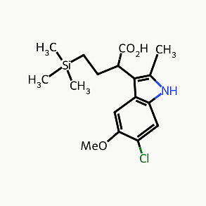 COc1cc2c(C(CC[Si](C)(C)C)C(=O)O)c(C)[nH]c2cc1Cl